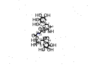 CN(CC(=O)N1C[C@H](O)[C@@H](O)[C@H](O)[C@H]1CO)C(=N)NOC(=O)/C=C/C(=O)ONC(=N)N(C)CC(=O)N1C[C@H](O)[C@@H](O)[C@H](O)[C@H]1CO